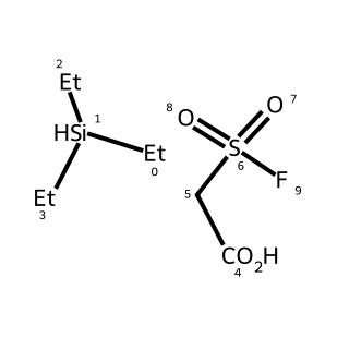 CC[SiH](CC)CC.O=C(O)CS(=O)(=O)F